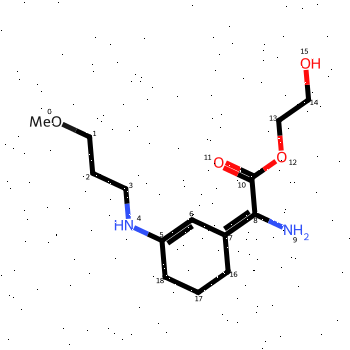 COCCCNC1=C/C(=C(/N)C(=O)OCCO)CCC1